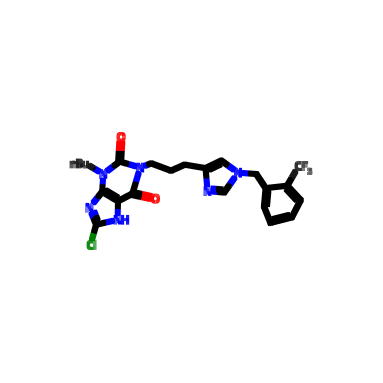 CCCCn1c(=O)n(CCCc2cn(Cc3ccccc3C(F)(F)F)cn2)c(=O)c2[nH]c(Cl)nc21